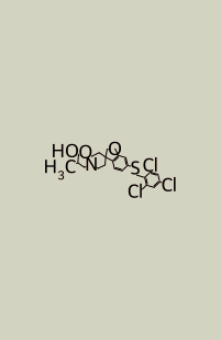 CC(CN1CCC2(CC1)COc1cc(SCc3c(Cl)cc(Cl)cc3Cl)ccc12)C(=O)O